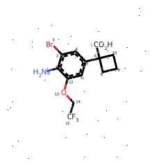 Nc1c(Br)cc(C2(C(=O)O)CCC2)cc1OCC(F)(F)F